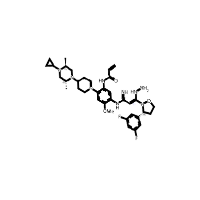 C=CC(=O)Nc1cc(NC(=N)/C=C(\NN)N2OCC[C@@H]2c2cc(F)cc(F)c2)c(OC)cc1N1CCC(N2C[C@H](C)N(C3CC3)C[C@H]2C)CC1